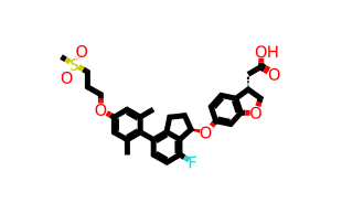 Cc1cc(OCCCS(C)(=O)=O)cc(C)c1-c1ccc(F)c2c1CC[C@H]2Oc1ccc2c(c1)OC[C@H]2CC(=O)O